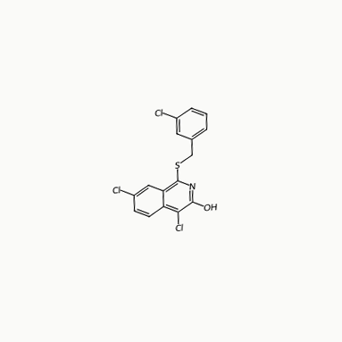 Oc1nc(SCc2cccc(Cl)c2)c2cc(Cl)ccc2c1Cl